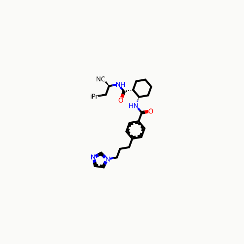 CC(C)C[C@@H](C#N)NC(=O)[C@@H]1CCCC[C@@H]1NC(=O)c1ccc(CCCn2ccnc2)cc1